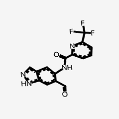 O=Cc1cc2[nH]ncc2cc1NC(=O)c1cccc(C(F)(F)F)n1